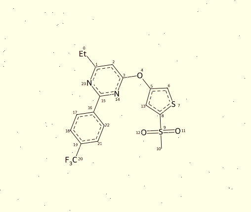 CCc1cc(Oc2csc(S(C)(=O)=O)c2)nc(-c2ccc(C(F)(F)F)cc2)n1